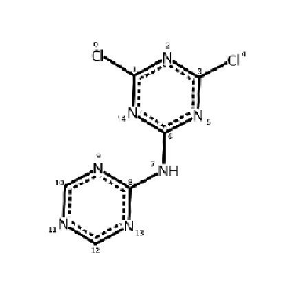 Clc1nc(Cl)nc(Nc2ncncn2)n1